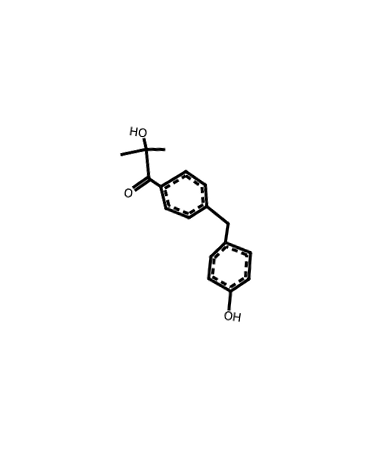 CC(C)(O)C(=O)c1ccc(Cc2ccc(O)cc2)cc1